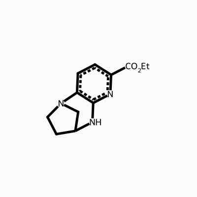 CCOC(=O)c1ccc2c(n1)NC1CCN2C1